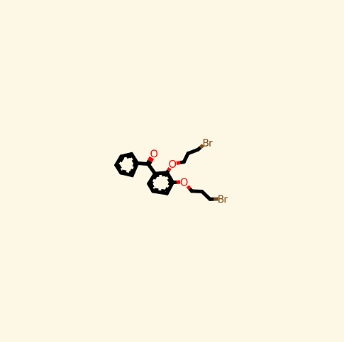 O=C(c1ccccc1)c1cccc(OCCCBr)c1OCCCBr